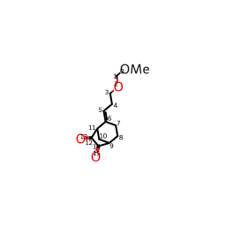 COCOCCC=C1CCC2CC1C(=O)C2=O